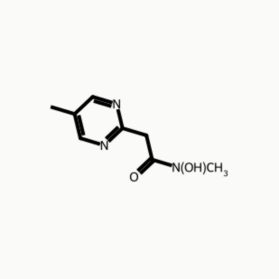 Cc1cnc(CC(=O)N(C)O)nc1